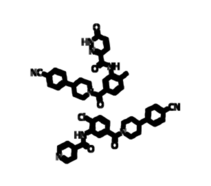 Cc1ccc(C(=O)N2CCC(c3ccc(C#N)cc3)CC2)cc1NC(=O)c1ccc(=O)[nH]n1.N#Cc1ccc(C2CCN(C(=O)c3ccc(Cl)c(NC(=O)c4ccncc4)c3)CC2)cc1